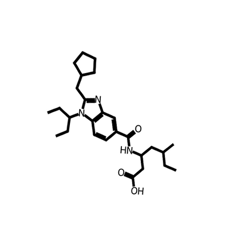 CCC(C)CC(CC(=O)O)NC(=O)c1ccc2c(c1)nc(CC1CCCC1)n2C(CC)CC